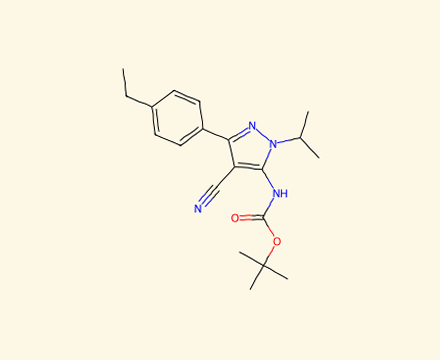 CCc1ccc(-c2nn(C(C)C)c(NC(=O)OC(C)(C)C)c2C#N)cc1